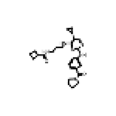 O=C(NCCCNc1nc(Nc2cccc(C(=O)N3CCCC3)c2)ncc1C1CC1)C1CCC1